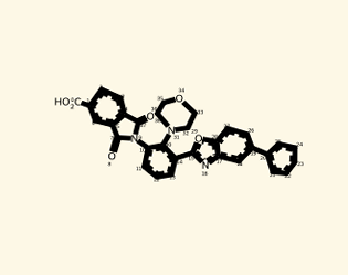 O=C(O)c1ccc2c(c1)C(=O)N(c1cccc(-c3nc4cc(-c5ccccc5)ccc4o3)c1N1CCOCC1)C2=O